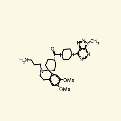 COc1cc2c(cc1OC)[C@]1(CC[C@@H](C(=O)N3CCN(c4ncnc5c4nnn5C)CC3)CC1)N(CCCN)CC2